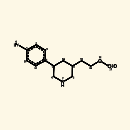 CC(C)c1ccc(C2CNCC(CCOC=O)C2)cc1